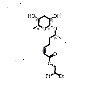 CCC(CC)COC(=O)/C=C\CC[C@@H](C)O[C@@H]1O[C@@H](C)[C@H](O)C[C@H]1O